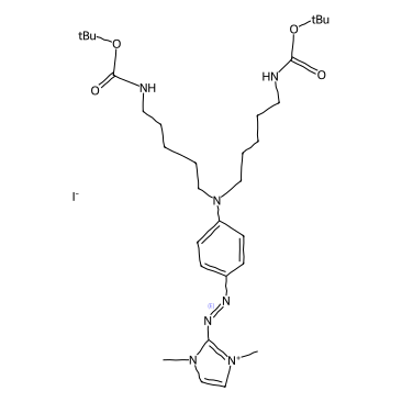 Cn1cc[n+](C)c1/N=N/c1ccc(N(CCCCCNC(=O)OC(C)(C)C)CCCCCNC(=O)OC(C)(C)C)cc1.[I-]